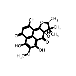 COc1c(O)c2c3c(c1O)C(=O)[C@@]1(O)C(=C3C(C)=CC2=O)O[C@H](C)C1(C)C